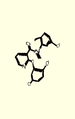 Cc1ccc(Cl)cc1N(C)C(=O)c1cccnc1Oc1cc(Cl)ccc1Cl